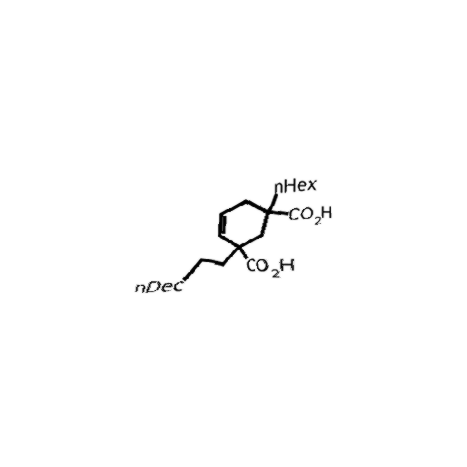 CCCCCCCCCCCCC1(C(=O)O)C=CCC(CCCCCC)(C(=O)O)C1